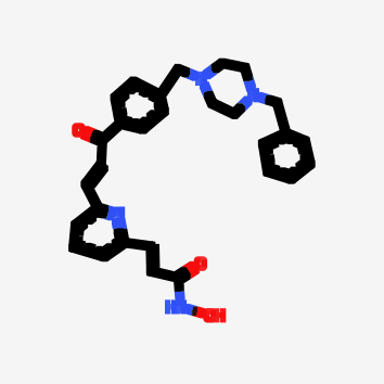 O=C(/C=C/c1cccc(/C=C/C(=O)c2ccc(CN3CCN(Cc4ccccc4)CC3)cc2)n1)NO